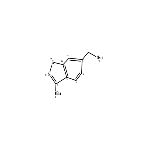 CC(C)(C)Cc1ccc2c(C(C)(C)C)nsc2c1